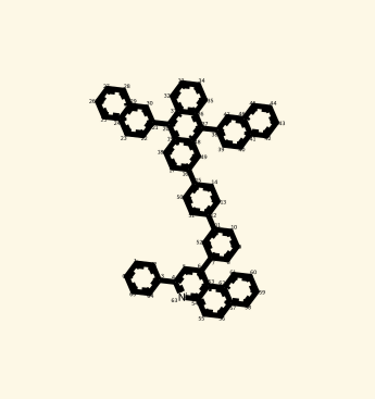 c1ccc(-c2cc(-c3cccc(-c4ccc(-c5ccc6c(-c7ccc8ccccc8c7)c7ccccc7c(-c7ccc8ccccc8c7)c6c5)cc4)c3)c3c(ccc4ccccc43)n2)cc1